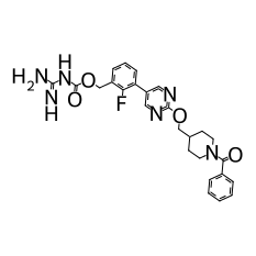 N=C(N)NC(=O)OCc1cccc(-c2cnc(OCC3CCN(C(=O)c4ccccc4)CC3)nc2)c1F